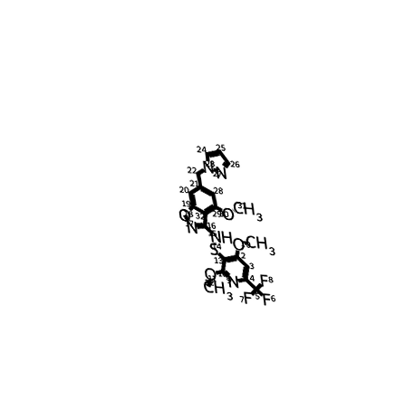 COc1cc(C(F)(F)F)nc(OC)c1SNc1noc2cc(Cn3cccn3)cc(OC)c12